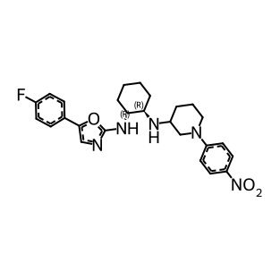 O=[N+]([O-])c1ccc(N2CCCC(N[C@@H]3CCCC[C@H]3Nc3ncc(-c4ccc(F)cc4)o3)C2)cc1